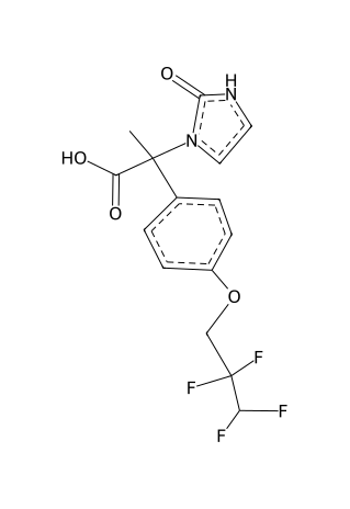 CC(C(=O)O)(c1ccc(OCC(F)(F)C(F)F)cc1)n1cc[nH]c1=O